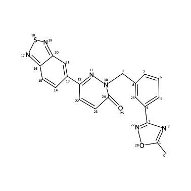 Cc1nc(-c2cccc(Cn3nc(-c4ccc5nsnc5c4)ccc3=O)c2)no1